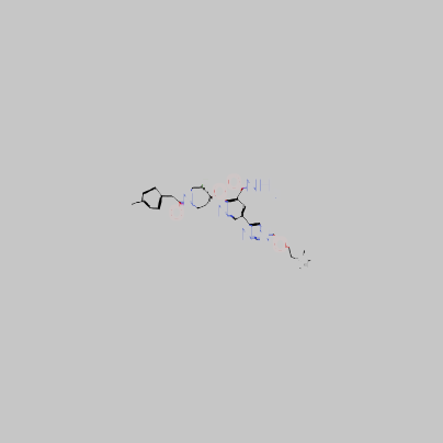 Cc1ccc(CC(=O)N2CC[C@H](Oc3ncc(-c4cn(COCC[Si](C)(C)C)cn4)cc3C(N)=O)[C@H](F)C2)cc1